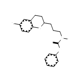 CN(CCCC1CCc2cc(N)ccc2N1)C(=O)Oc1ccccc1